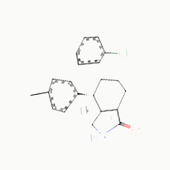 Cc1ccc([C@H]2[C@H](c3ccccc3Cl)CC[C@@]3(C)C(=O)NC[C@@H]23)cc1